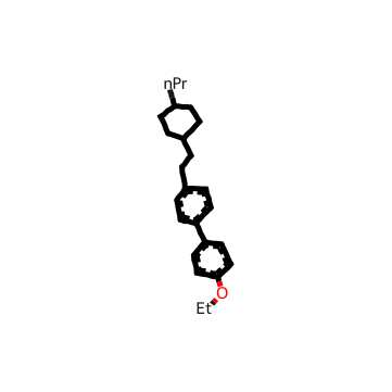 CCCC1CCC(CCc2ccc(-c3ccc(OCC)cc3)cc2)CC1